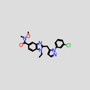 CCn1c(Cc2ccnn2-c2cccc(Cl)c2)nc2cc(C(=O)N(C)OC)ccc21